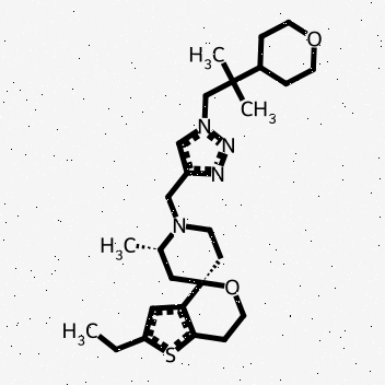 CCc1cc2c(s1)CCO[C@@]21CCN(Cc2cn(CC(C)(C)C3CCOCC3)nn2)[C@@H](C)C1